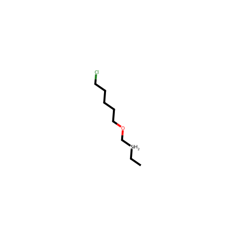 CC[SiH2]COCCCCCCl